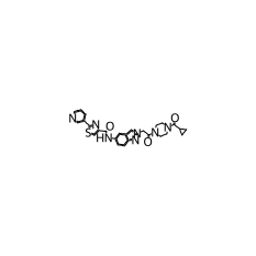 O=C(Nc1ccc2nn(CC(=O)N3CCN(C(=O)C4CC4)CC3)cc2c1)c1csc(-c2cccnc2)n1